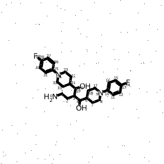 NCCC(C(O)C1CCN(c2ccc(F)cc2)CC1)C(O)C1CCN(c2ccc(F)cc2)CC1